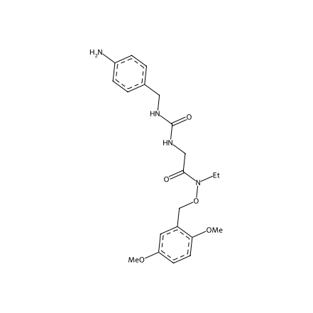 CCN(OCc1cc(OC)ccc1OC)C(=O)CNC(=O)NCc1ccc(N)cc1